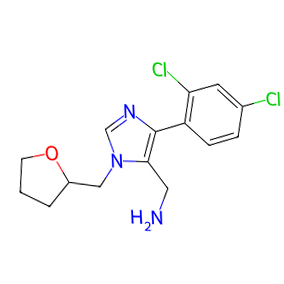 NCc1c(-c2ccc(Cl)cc2Cl)ncn1CC1CCCO1